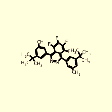 Cc1cc(-c2nnc(-c3cc(C)cc(C(C)(C)C)c3)c3c(F)c(F)c(F)c(F)c23)cc(C(C)(C)C)c1